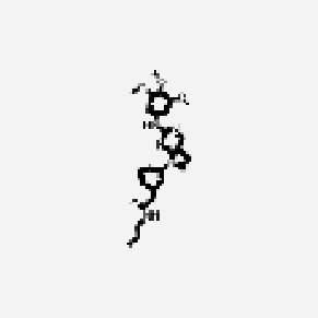 CCCNC(=O)Cc1cccc(-n2ccc3cnc(Nc4cc(OC)c(OC)c(OC)c4)nc32)c1